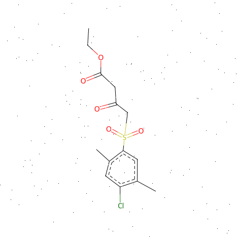 CCOC(=O)CC(=O)CS(=O)(=O)c1cc(C)c(Cl)cc1C